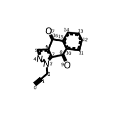 C#CCn1ncc2c1C(=O)c1ccccc1C2=O